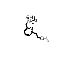 CCCc1cccc(CN(C)C)n1